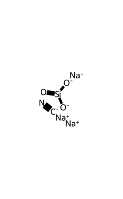 O=[Si]([O-])[O-].[C-]#N.[Na+].[Na+].[Na+]